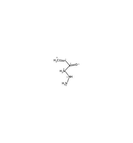 C=CC(=O)[SiH2]N[SiH3]